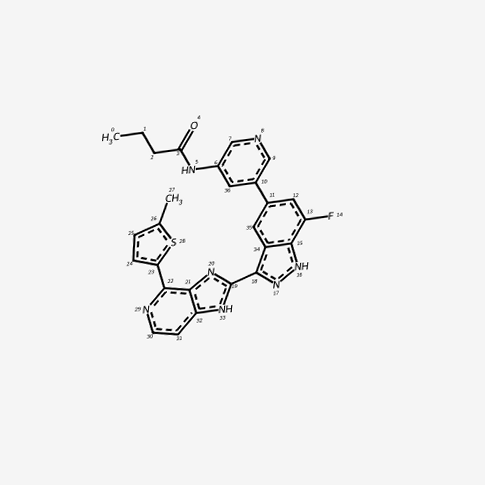 CCCC(=O)Nc1cncc(-c2cc(F)c3[nH]nc(-c4nc5c(-c6ccc(C)s6)nccc5[nH]4)c3c2)c1